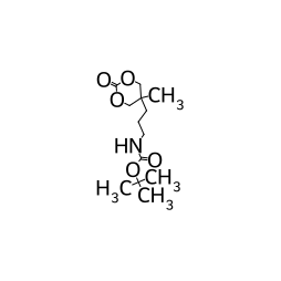 CC1(CCCNC(=O)OC(C)(C)C)COC(=O)OC1